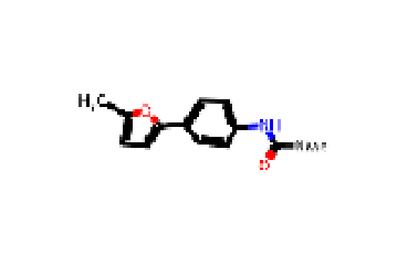 CNC(=O)Nc1ccc(-c2ccc(C)o2)cc1